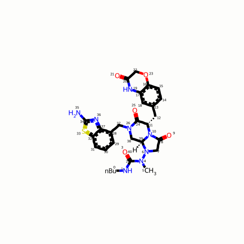 CCCCNC(=O)N(C)N1CC(=O)N2[C@@H](Cc3ccc4c(c3)NC(=O)CO4)C(=O)N(Cc3cccc4sc(N)nc34)C[C@@H]21